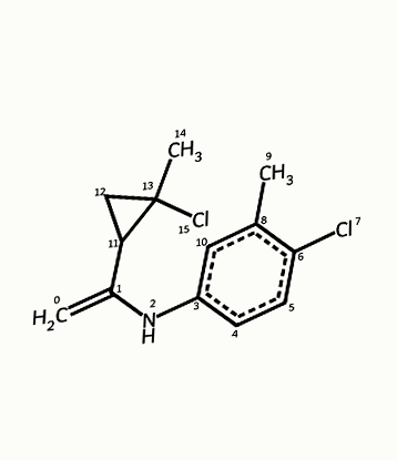 C=C(Nc1ccc(Cl)c(C)c1)C1CC1(C)Cl